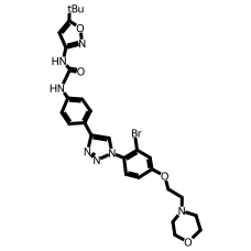 CC(C)(C)c1cc(NC(=O)Nc2ccc(-c3cn(-c4ccc(OCCN5CCOCC5)cc4Br)nn3)cc2)no1